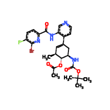 CC(=O)O[C@@H]1[C@@H](C)C=C(c2ccncc2NC(=O)c2ccc(F)c(Br)n2)C[C@H]1NC(=O)OC(C)(C)C